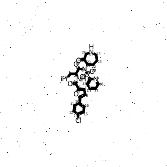 CC(C)CC(NC(=O)c1ccc(-c2ccc(Cl)cc2)o1)C(=O)N([C@H]1CCCNCC1=O)S(=O)(=O)c1ccccn1